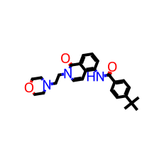 CC(C)(C)c1ccc(C(=O)Nc2cccc3c(=O)n(CCN4CCOCC4)ccc23)cc1